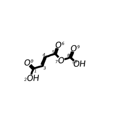 O=C(O)C=CC(=O)OC(=O)O